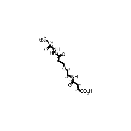 CC(C)(C)OC(=O)NNC(=O)CCOCCNC(=O)CCC(=O)O